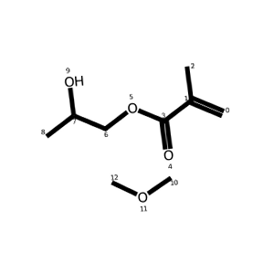 C=C(C)C(=O)OCC(C)O.COC